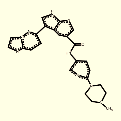 CN1CCN(c2ccc(NC(=O)c3cnc4[nH]cc(-c5ccc6nccn6n5)c4c3)cn2)CC1